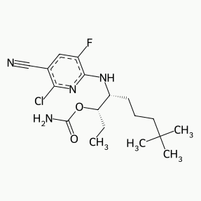 CC[C@H](OC(N)=O)[C@@H](CCCC(C)(C)C)Nc1nc(Cl)c(C#N)cc1F